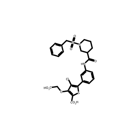 O=C(O)COc1c(C(=O)O)sc(-c2cccc(NC(=O)C3CCCN(S(=O)(=O)Cc4ccccc4)C3)c2)c1Cl